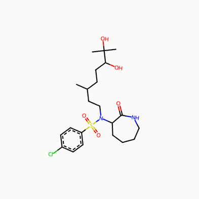 CC(CCC(O)C(C)(C)O)CCN(C1CCCCNC1=O)S(=O)(=O)c1ccc(Cl)cc1